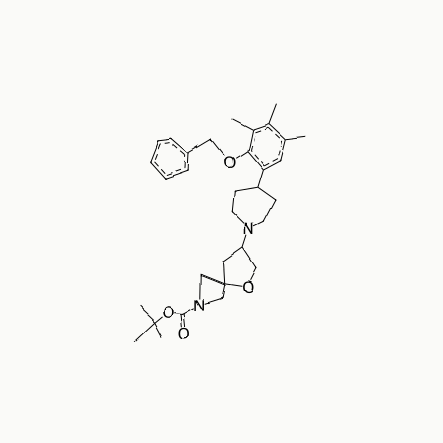 Cc1cc(C2CCN(C3COC4(C3)CN(C(=O)OC(C)(C)C)C4)CC2)c(OCc2ccccc2)c(C)c1C